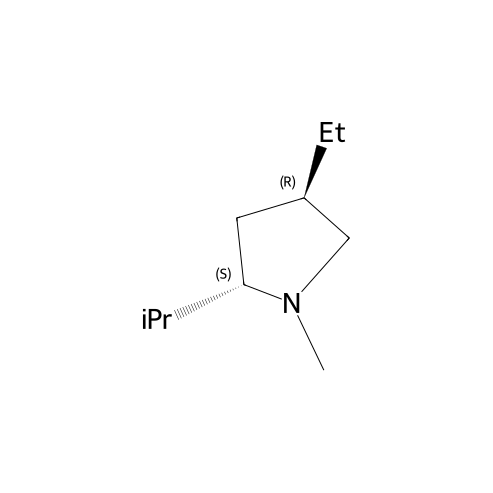 CC[C@@H]1C[C@@H](C(C)C)N(C)C1